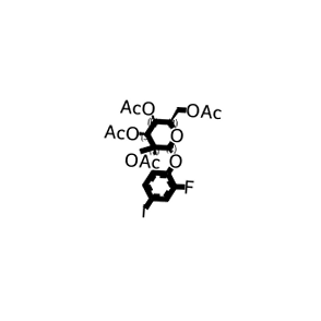 CC(=O)OC[C@H]1O[C@H](Oc2ccc(I)cc2F)[C@@](C)(OC(C)=O)[C@@H](OC(C)=O)[C@@H]1OC(C)=O